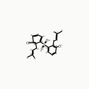 CC(C)=CCc1c(Cl)cccc1S(=O)(=O)c1cccc(Cl)c1CC=C(C)C